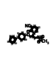 CS(=O)(=O)NCC(CO[C@H]1CC[C@@H](c2ccccc2)CC1)n1cccc(C#N)c1=O